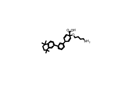 CC1(C)CCC(C)(C)c2cc(-c3cccc(C4C=CC(OCCCCN)(C(=O)O)C=C4)c3)ccc21